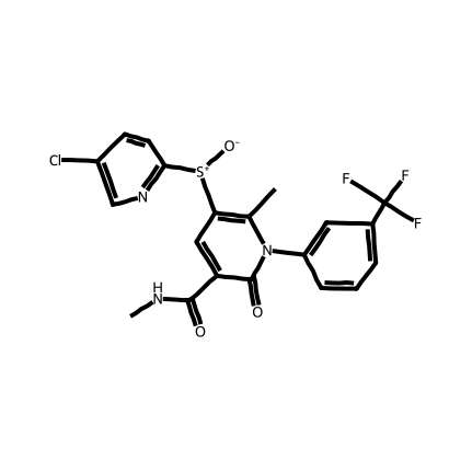 CNC(=O)c1cc([S+]([O-])c2ccc(Cl)cn2)c(C)n(-c2cccc(C(F)(F)F)c2)c1=O